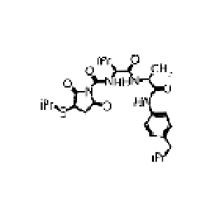 CC(C)Cc1ccc(NC(=O)[C@H](C)NC(=O)C(NC(=O)N2C(=O)CC(SC(C)C)C2=O)C(C)C)cc1